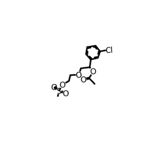 CC(=O)OC(COCCOS(C)(=O)=O)c1cccc(Cl)c1